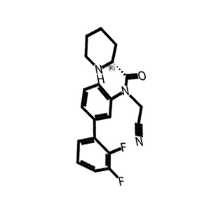 N#CCN(C(=O)[C@H]1CCCCN1)c1cccc(-c2cccc(F)c2F)c1